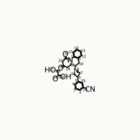 N#Cc1cccc(C2CN(CCc3ccccc3N3CCCCC3=O)C2)c1.O=C(O)C(=O)O